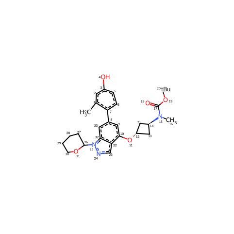 Cc1cc(O)ccc1-c1cc(O[C@H]2C[C@H](N(C)C(=O)OC(C)(C)C)C2)c2cnn(C3CCCCO3)c2c1